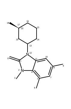 C=C1N(C)c2c(C)cc(C)cc2N1C1CCC[C@H](C)C1